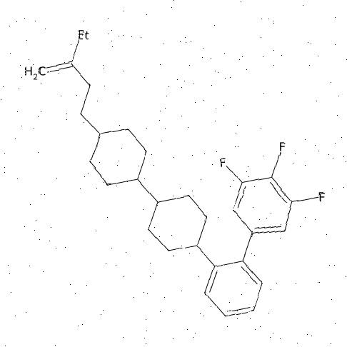 C=C(CC)CCC1CCC(C2CCC(c3ccccc3-c3cc(F)c(F)c(F)c3)CC2)CC1